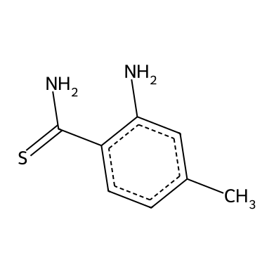 Cc1ccc(C(N)=S)c(N)c1